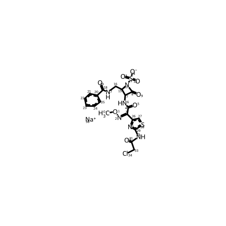 CON=C(C(=O)NC1C(=O)N(S(=O)(=O)[O-])C1CNC(=O)c1ccccc1)c1csc(NC(=O)CCl)n1.[Na+]